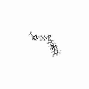 O=C(N1CC2(CC(n3cnc(C4CC4)n3)C2)C1)N1CC2(C1)CN(S(=O)(=O)c1cc(F)cc(F)c1)C2